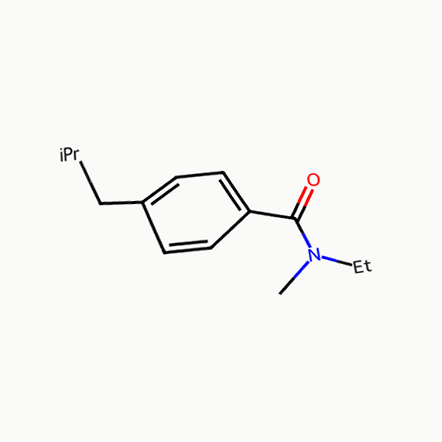 CCN(C)C(=O)c1ccc(CC(C)C)cc1